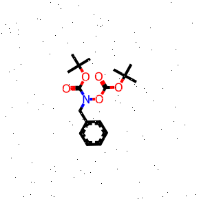 CC(C)(C)OC(=O)ON(Cc1ccccc1)C(=O)OC(C)(C)C